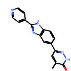 Cc1cc(-c2ccc3[nH]c(-c4ccncc4)nc3c2)n[nH]c1=O